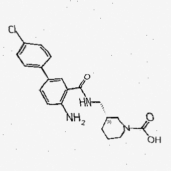 Nc1ccc(-c2ccc(Cl)cc2)cc1C(=O)NC[C@H]1CCCN(C(=O)O)C1